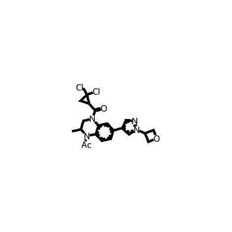 CC(=O)N1c2ccc(-c3cnn(C4COC4)c3)cc2N(C(=O)C2CC2(Cl)Cl)CC1C